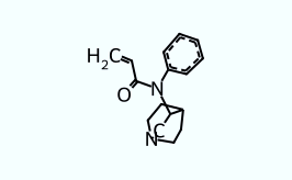 C=CC(=O)N(c1ccccc1)C1CN2CCC1CC2